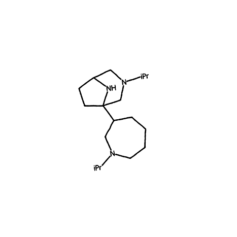 CC(C)N1CCCCC(C23CCC(CN(C(C)C)C2)N3)C1